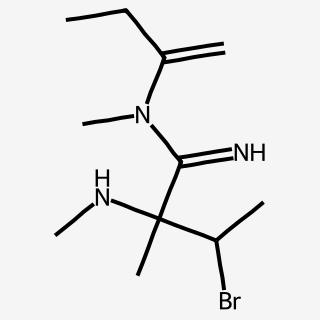 C=C(CC)N(C)C(=N)C(C)(NC)C(C)Br